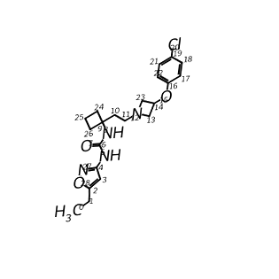 CCc1cc(NC(=O)NC2(CCN3CC(Oc4ccc(Cl)cc4)C3)CCC2)no1